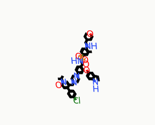 Cc1cc(S(=O)(=O)NC(=O)c2ccc(N3CCN(Cc4cn(C(C)C)c(=O)cc4-c4ccc(Cl)cc4)CC3)cc2Oc2ccc3[nH]ccc3c2)ccc1NCC1CCOCC1